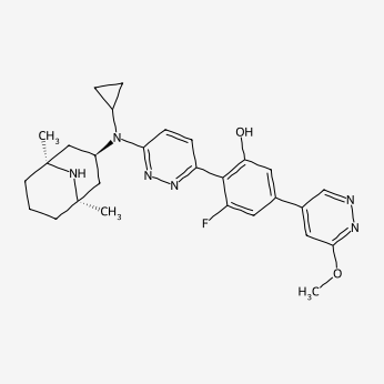 COc1cc(-c2cc(O)c(-c3ccc(N(C4CC4)[C@@H]4C[C@]5(C)CCC[C@](C)(C4)N5)nn3)c(F)c2)cnn1